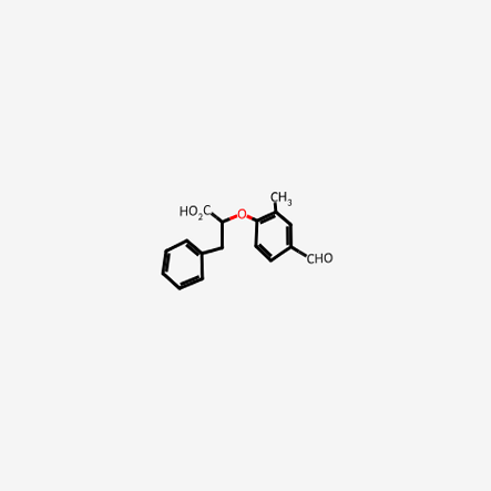 Cc1cc(C=O)ccc1OC(Cc1ccccc1)C(=O)O